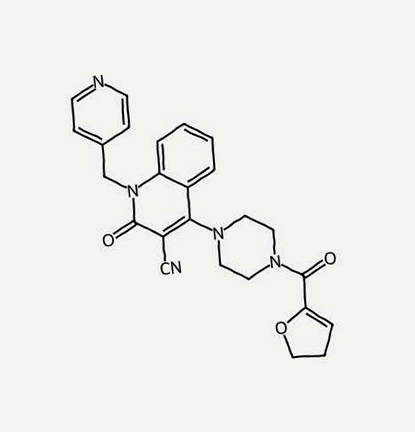 N#Cc1c(N2CCN(C(=O)C3=CCCO3)CC2)c2ccccc2n(Cc2ccncc2)c1=O